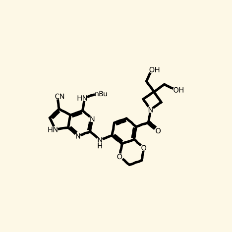 CCCCNc1nc(Nc2ccc(C(=O)N3CC(CO)(CO)C3)c3c2OCCO3)nc2[nH]cc(C#N)c12